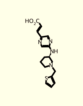 O=C(O)C=Cc1cnc(N[C@@H]2CCCN(Cc3cccs3)C2)cn1